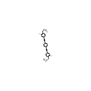 CCc1ccc(C#Cc2ccc(C#Cc3ccc(CC)c(F)c3)cc2)cc1F